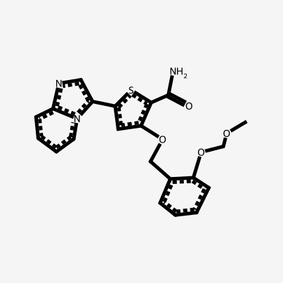 COCOc1ccccc1COc1cc(-c2cnc3ccccn23)sc1C(N)=O